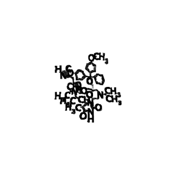 COc1ccc(C(OC[C@]2(COP(OCCC#N)N(C(C)C)C(C)C)CN(C(C)C)C[C@H](n3cc(C)c(=O)[nH]c3=O)O2)(c2ccccc2)c2ccc(OC)cc2)cc1